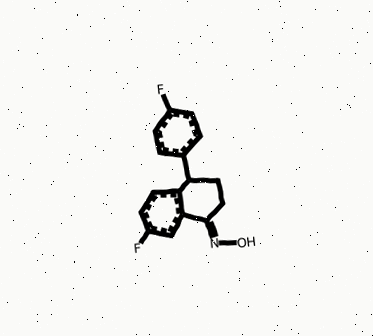 ON=C1CCC(c2ccc(F)cc2)c2ccc(F)cc21